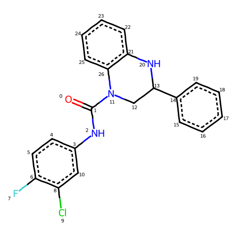 O=C(Nc1ccc(F)c(Cl)c1)N1CC(c2ccccc2)Nc2ccccc21